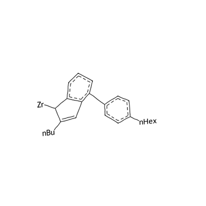 CCCCCCc1ccc(-c2cccc3c2C=C(CCCC)[CH]3[Zr])cc1